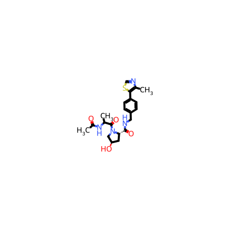 CC(=O)NC(C)C(=O)N1C[C@H](O)C[C@H]1C(=O)NCc1ccc(-c2scnc2C)cc1